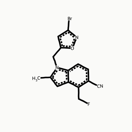 Cc1cc2c(CF)c(C#N)ccc2n1Cc1cc(Br)no1